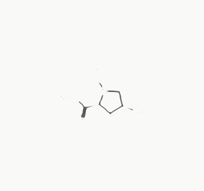 COC(=O)[C@@H]1C[C@H](S)CN1C.Cl